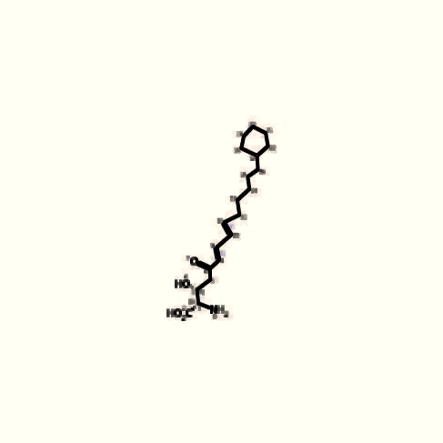 N[C@H](C(=O)O)[C@H](O)CC(=O)/C=C/C=C/CCCCCC1CCCCC1